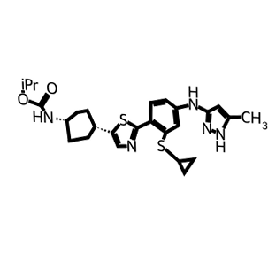 Cc1cc(Nc2ccc(-c3ncc([C@H]4CC[C@@H](NC(=O)OC(C)C)CC4)s3)c(SC3CC3)c2)n[nH]1